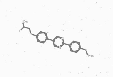 CCCCCCCCCCC(F)COc1ccc(-c2cnc(-c3ccc(OCCCCCC)cc3)nc2)cc1